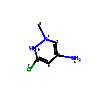 CN1C=C(N)C=C(Cl)N1